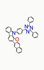 c1ccc(-c2nc(-c3ccccc3)nc(-c3ccc(-n4c5ccccc5c5ccc6c7cc8ccccc8cc7oc6c54)cc3)n2)cc1